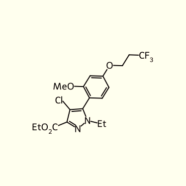 CCOC(=O)c1nn(CC)c(-c2ccc(OCCC(F)(F)F)cc2OC)c1Cl